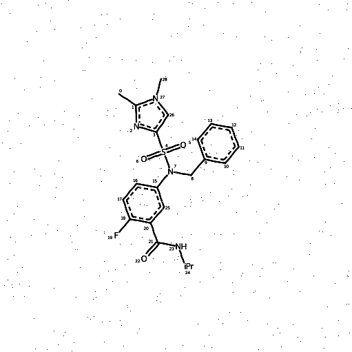 Cc1nc(S(=O)(=O)N(Cc2ccccc2)c2ccc(F)c(C(=O)NC(C)C)c2)cn1C